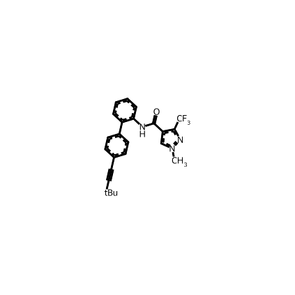 Cn1cc(C(=O)Nc2ccccc2-c2ccc(C#CC(C)(C)C)cc2)c(C(F)(F)F)n1